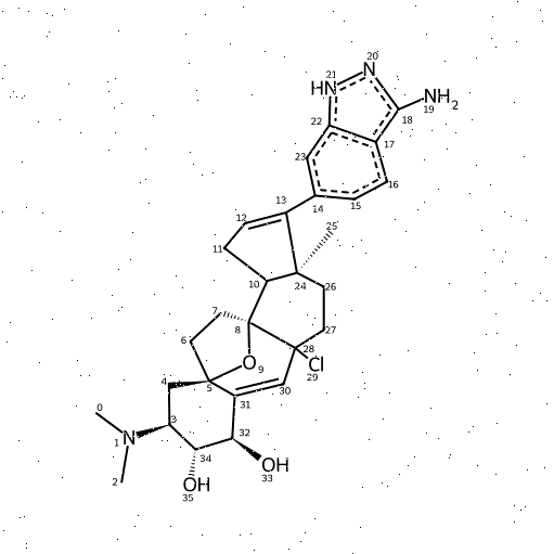 CN(C)[C@H]1C[C@@]23CC[C@]4(O2)C2CC=C(c5ccc6c(N)n[nH]c6c5)[C@@]2(C)CCC4(Cl)C=C3[C@@H](O)[C@@H]1O